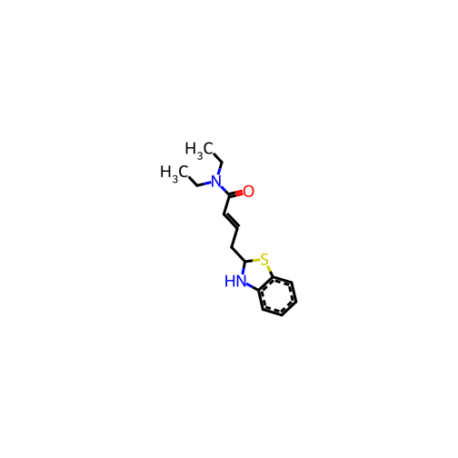 CCN(CC)C(=O)C=CCC1Nc2ccccc2S1